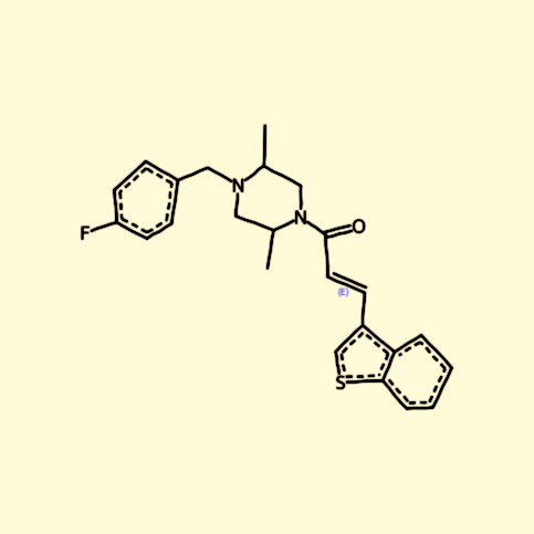 CC1CN(C(=O)/C=C/c2csc3ccccc23)C(C)CN1Cc1ccc(F)cc1